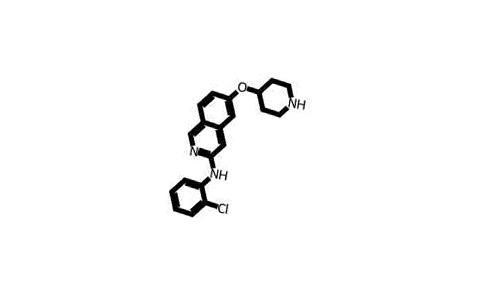 Clc1ccccc1Nc1cc2cc(OC3CCNCC3)ccc2cn1